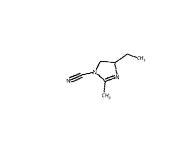 CCC1CN(C#N)C(C)=N1